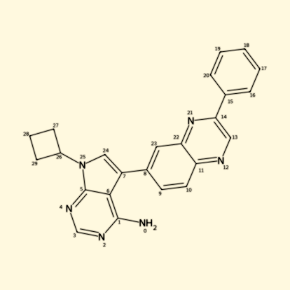 Nc1ncnc2c1c(-c1ccc3ncc(-c4ccccc4)nc3c1)cn2C1CCC1